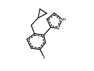 Fc1ccc(CC2CC2)c(-c2cc[nH]n2)c1